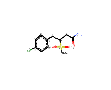 CNS(=O)(=O)C(CC(N)=O)Cc1ccc(Cl)cc1